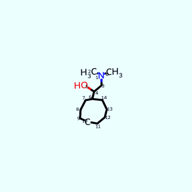 CN(C)CC(O)C1CCCCCCCC1